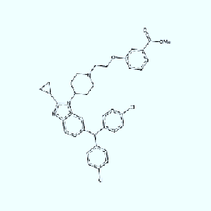 COC(=O)c1cccc(OCCN2CCC(n3c(C4CC4)nc4ccc(C(c5ccc(Cl)cc5)c5ccc(Cl)cc5)cc43)CC2)c1